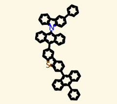 c1ccc(-c2ccc3c(c2)c2ccccc2n3-c2c3ccccc3c(-c3ccc4sc5cc(-c6c7ccccc7c(-c7ccccc7)c7ccccc67)ccc5c4c3)c3ccccc23)cc1